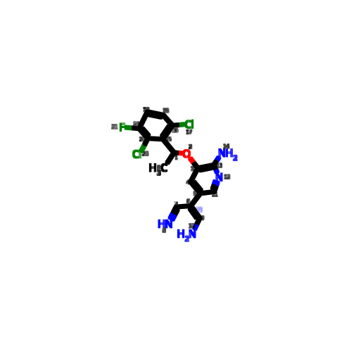 CC(Oc1cc(/C(C=N)=C/N)cnc1N)c1c(Cl)ccc(F)c1Cl